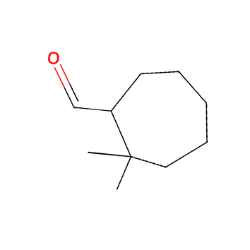 CC1(C)CCCCCC1C=O